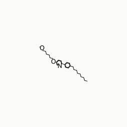 CCCCCCCCCc1ccc(-c2ccc(OCCCCCCOC)cn2)cc1